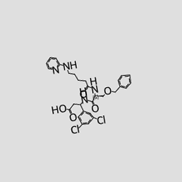 O=C(O)CC(NC(=O)[C@H](COCc1ccccc1)NC(=O)CCCCNc1ccccn1)c1cc(Cl)cc(Cl)c1